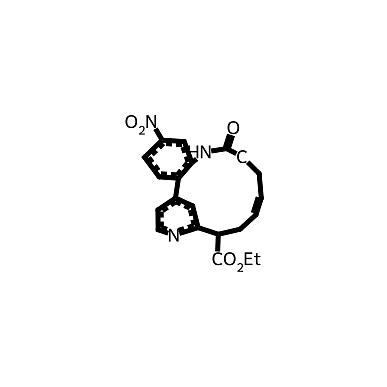 CCOC(=O)C1C/C=C\CCC(=O)Nc2cc([N+](=O)[O-])ccc2-c2ccnc1c2